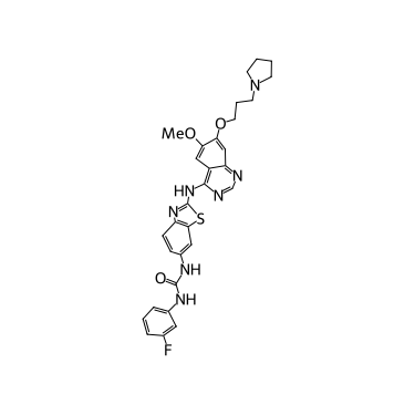 COc1cc2c(Nc3nc4ccc(NC(=O)Nc5cccc(F)c5)cc4s3)ncnc2cc1OCCCN1CCCC1